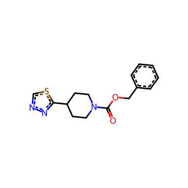 O=C(OCc1ccccc1)N1CCC(c2nncs2)CC1